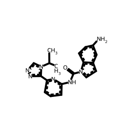 CC(C)n1cnnc1-c1cccc(NC(=O)n2ccc3cc(N)ccc32)n1